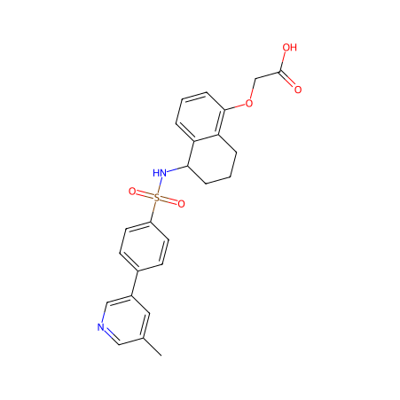 Cc1cncc(-c2ccc(S(=O)(=O)NC3CCCc4c(OCC(=O)O)cccc43)cc2)c1